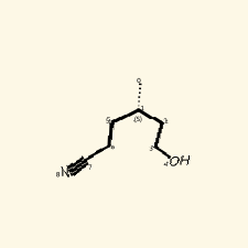 C[C@H](CCO)CCC#N